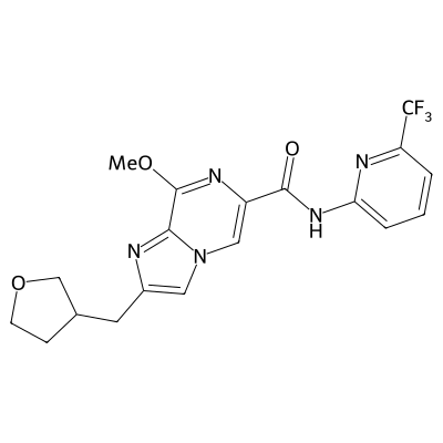 COc1nc(C(=O)Nc2cccc(C(F)(F)F)n2)cn2cc(CC3CCOC3)nc12